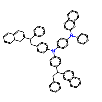 C1=CC2=CC=C(C(Cc3ccc(N(c4ccc(C(Cc5ccccc5)c5ccc6ccccc6c5)cc4)c4ccc(N(c5ccccc5)c5ccc6ccccc6c5)cc4)cc3)c3ccccc3)CC2C=C1